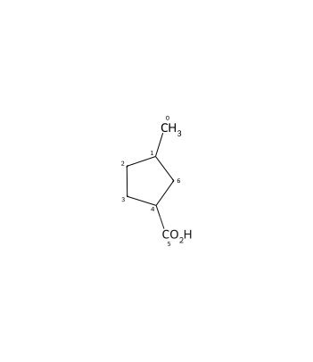 CC1CCC(C(=O)O)C1